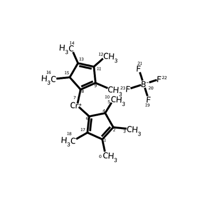 CC1=C(C)C(C)[C]([Cr+][C]2=C(C)C(C)=C(C)C2C)=C1C.F[B-](F)(F)F